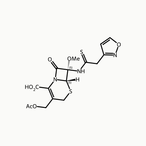 CO[C@@]1(NC(=S)Cc2ccon2)C(=O)N2C(C(=O)O)=C(COC(C)=O)CS[C@H]21